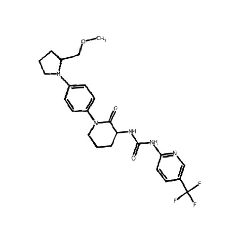 COCC1CCCN1c1ccc(N2CCCC(NC(=O)Nc3ccc(C(F)(F)F)cn3)C2=O)cc1